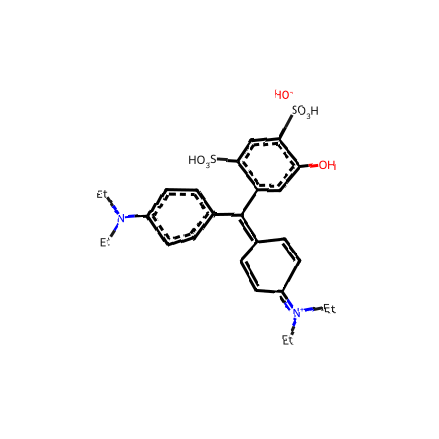 CCN(CC)c1ccc(C(=C2C=CC(=[N+](CC)CC)C=C2)c2cc(O)c(S(=O)(=O)O)cc2S(=O)(=O)O)cc1.[OH-]